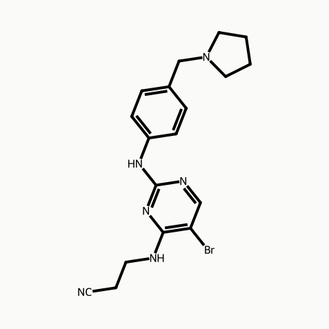 N#CCCNc1nc(Nc2ccc(CN3CCCC3)cc2)ncc1Br